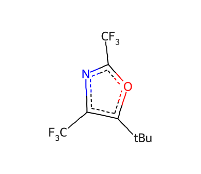 CC(C)(C)c1oc(C(F)(F)F)nc1C(F)(F)F